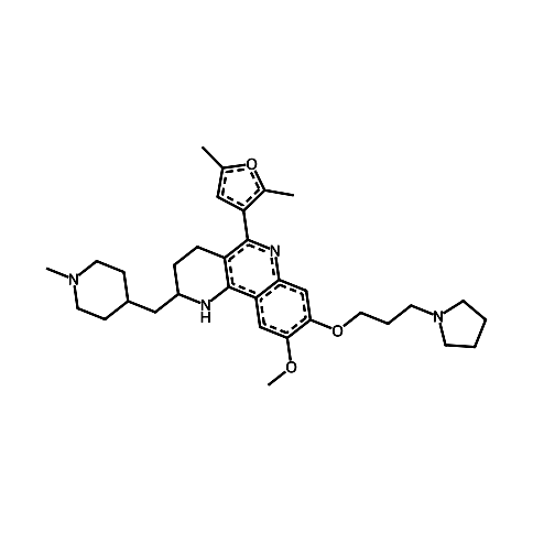 COc1cc2c3c(c(-c4cc(C)oc4C)nc2cc1OCCCN1CCCC1)CCC(CC1CCN(C)CC1)N3